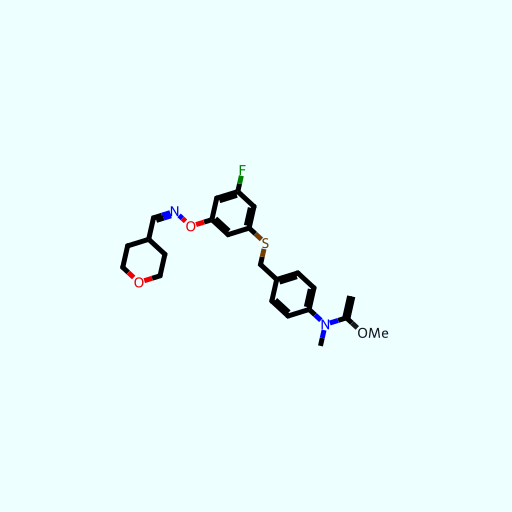 C=C(OC)N(C)c1ccc(CSc2cc(F)cc(O/N=C\C3CCOCC3)c2)cc1